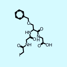 O=C(O)CNC(=O)C(COCc1ccccc1)NC(=O)CNC(=O)CI